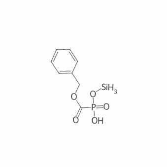 O=C(OCc1ccccc1)P(=O)(O)O[SiH3]